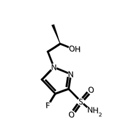 C[C@@H](O)Cn1cc(F)c(S(N)(=O)=O)n1